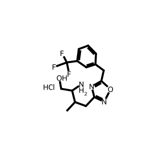 CC(Cc1noc(Cc2cccc(C(F)(F)F)c2)n1)C(N)CO.Cl